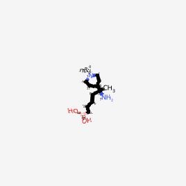 CCCCN1CCC(C(C)(N)CCCCB(O)O)CC1